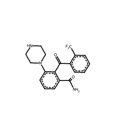 NC(=O)c1cccc(N2CCNCC2)c1C(=O)c1ccccc1C(F)(F)F